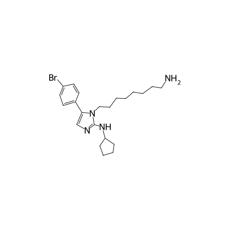 NCCCCCCCCn1c(-c2ccc(Br)cc2)cnc1NC1CCCC1